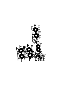 CC[Si](CC)(CC)C[Si](C[Si](CC)(CC)CC)(Oc1ccc2c(c1)C(F)C([O][Al]=[O])=C2)C(C)C.Fc1c(F)c(F)c(-c2c(F)c(F)c(F)c(F)c2F)c(F)c1F.Fc1c(F)c(F)c(-c2c(F)c(F)c(F)c(F)c2F)c(F)c1F.Fc1c(F)c(F)c(-c2c(F)c(F)c(F)c(F)c2F)c(F)c1F